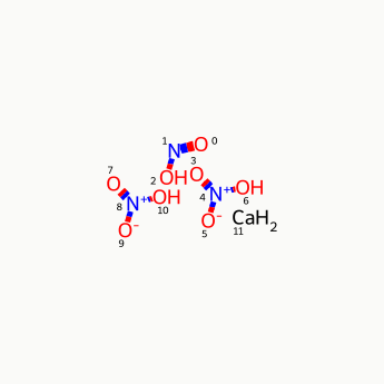 O=NO.O=[N+]([O-])O.O=[N+]([O-])O.[CaH2]